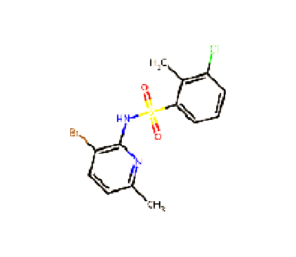 Cc1ccc(Br)c(NS(=O)(=O)c2cccc(Cl)c2C)n1